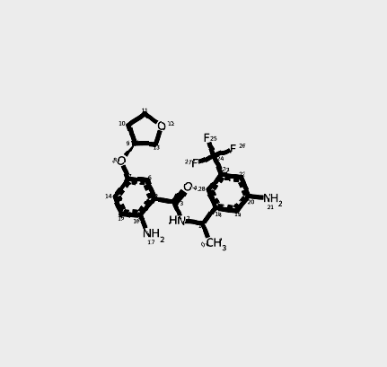 CC(NC(=O)c1cc(O[C@H]2CCOC2)ccc1N)c1cc(N)cc(C(F)(F)F)c1